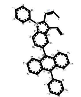 C=Cc1c(/C=C\C)n(-c2ccccc2)c2ccc(-c3c4ccccc4c(-c4ccccc4)c4ccccc34)cc12